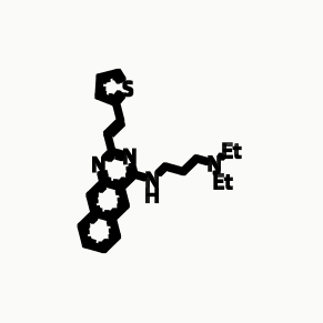 CCN(CC)CCCNc1nc(/C=C/c2cccs2)nc2cc3ccccc3cc12